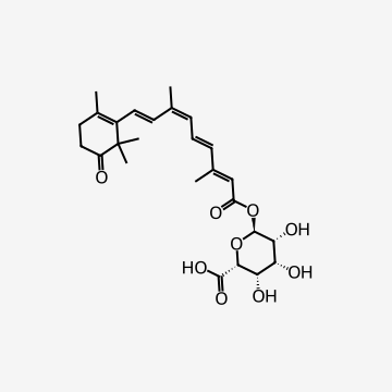 CC1=C(/C=C/C(C)=C\C=C\C(C)=C\C(=O)O[C@@H]2O[C@@H](C(=O)O)[C@@H](O)[C@@H](O)[C@H]2O)C(C)(C)C(=O)CC1